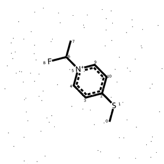 CSc1cc[n+](C(C)F)cc1